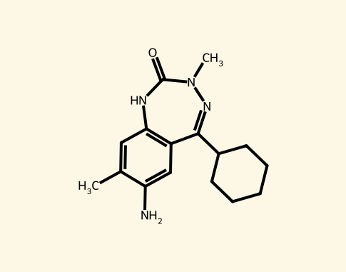 Cc1cc2c(cc1N)C(C1CCCCC1)=NN(C)C(=O)N2